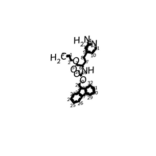 C=CCOC(=O)C(CCc1ccnc(N)c1)NC(=O)OCC1c2ccccc2-c2ccccc21